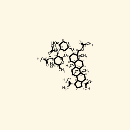 C=C(C)[C@@H]1CC[C@]2(C(=O)O)CC[C@]3(C)C(CCC4[C@@]5(C)CC[C@H](O[C@@H]6OC[C@H](O)[C@H](O)[C@H]6O[C@@H]6O[C@@H](C)[C@H](O)[C@@H](OC(C)=O)[C@H]6OC(C)=O)[C@@](C)(COC(C)=O)C5CC[C@]43C)C12